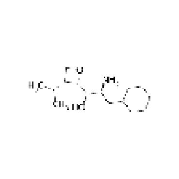 CC(C)[C@@H]1CO[C@@H]1[C@H](O)[C@@H](N)CC1CCCCC1